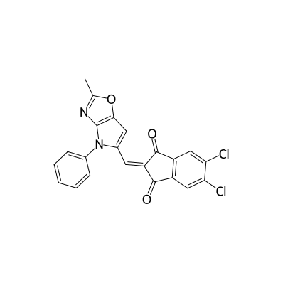 Cc1nc2c(cc(C=C3C(=O)c4cc(Cl)c(Cl)cc4C3=O)n2-c2ccccc2)o1